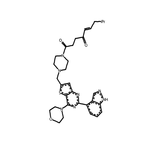 CC(C)C/C=C/C(=O)CCC(=O)N1CCN(Cc2cc3nc(-c4cccc5[nH]ncc45)nc(N4CCOCC4)c3s2)CC1